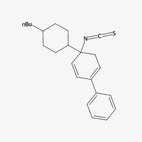 CCCCC1CCC(C2(N=C=S)C=CC(c3ccccc3)=CC2)CC1